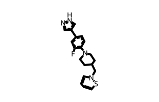 Fc1cc(-c2cn[nH]c2)ccc1N1CCC(CN2C=CC=CS2)CC1